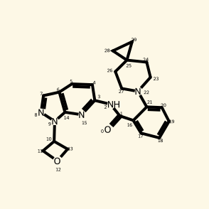 O=C(Nc1ccc2cnn(C3COC3)c2n1)c1ccccc1N1CCC2(CC1)CC2